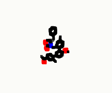 COc1ccc(-c2ccc(C(C)=O)cc2C)cc1-c1ccc(C)cc1CN1C(=O)OC[C@@H]1Cc1ccccc1